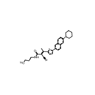 C/C(=C(/C#N)C(=O)NCCCO)c1ccc(-c2ccc3cc(N4CCCCC4)ccc3c2)s1